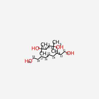 CC(C)(O)CCC(C)(C)O.OCCCCCCCCCO